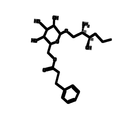 CCC[C@@H](O)[C@@H](N)COC1OC(COC(=O)CCc2ccccc2)C(O)C(O)C1O